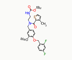 COc1cc(CN(CCNC(=O)OC(C)(C)C)C(=O)c2sccc2C)ccc1OCc1ccc(F)cc1F